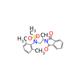 Cc1cccc(C)c1N(CC(C)N1C(=O)c2ccccc2C1=O)S(C)(=O)=O